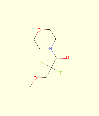 COCC(F)(F)C(=O)N1CCOCC1